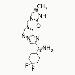 C[C@@H]1CN(Cc2cnn3cc([C@@H](N)C4CCC(F)(F)CC4)nc3c2)C(=O)N1